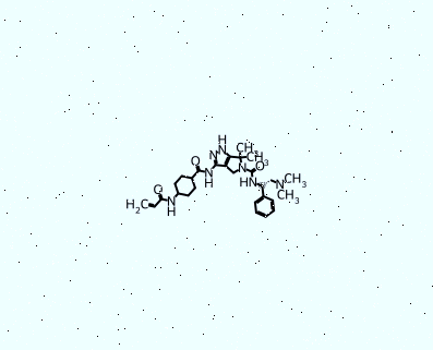 C=CC(=O)NC1CCC(C(=O)Nc2n[nH]c3c2CN(C(=O)N[C@H](CN(C)C)c2ccccc2)C3(C)C)CC1